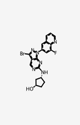 O[C@@H]1CC[C@@H](Nc2ncc3c(Br)nn(-c4cc(F)c5ncccc5c4)c3n2)C1